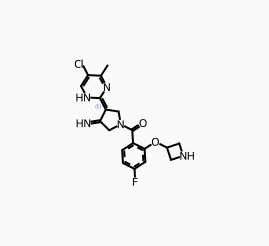 CC1=N/C(=C2\CN(C(=O)c3ccc(F)cc3OC3CNC3)CC2=N)NC=C1Cl